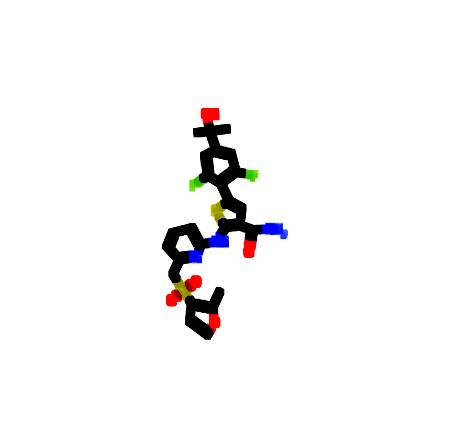 Cc1occc1S(=O)(=O)Cc1cccc(Nc2sc(-c3c(F)cc(C(C)(C)O)cc3F)cc2C(N)=O)n1